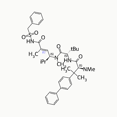 CN[C@H](C(=O)N[C@H](C(=O)N(C)[C@H](/C=C(\C)C(=O)NS(=O)(=O)Cc1ccccc1)C(C)C)C(C)(C)C)C(C)(C)c1ccc(-c2ccccc2)cc1